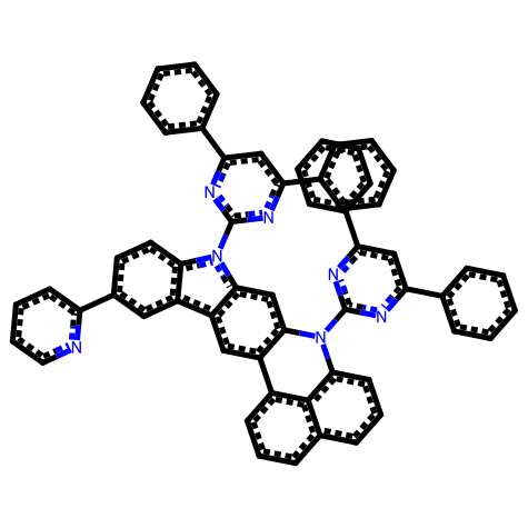 c1ccc(-c2cc(-c3ccccc3)nc(N3c4cc5c(cc4-c4cccc6cccc3c46)c3cc(-c4ccccn4)ccc3n5-c3nc(-c4ccccc4)cc(-c4ccccc4)n3)n2)cc1